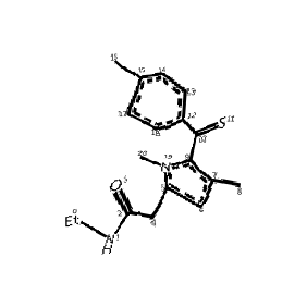 CCNC(=O)Cc1cc(C)c(C(=S)c2ccc(C)cc2)n1C